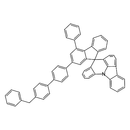 c1ccc(Cc2ccc(-c3ccc(-c4cc(-c5ccccc5)c5c(c4)C4(c6ccccc6-5)c5ccccc5-n5c6ccccc6c6cccc4c65)cc3)cc2)cc1